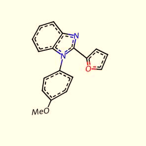 COc1ccc(-n2c(-c3ccco3)nc3ccccc32)cc1